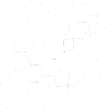 COC1CCC2(CC1)CN(C(=O)Nc1c(-c3ccccc3F)ccnc1N1CCC(F)(F)C1)C2